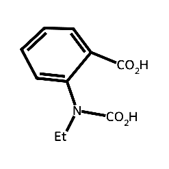 CCN(C(=O)O)c1ccccc1C(=O)O